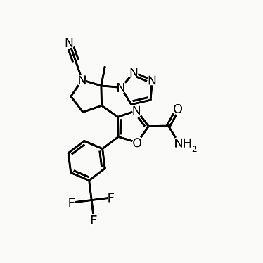 CC1(n2ccnn2)C(c2nc(C(N)=O)oc2-c2cccc(C(F)(F)F)c2)CCN1C#N